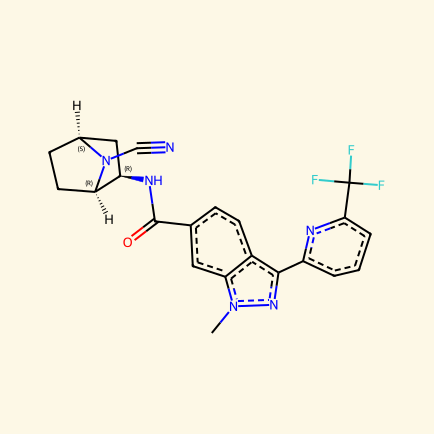 Cn1nc(-c2cccc(C(F)(F)F)n2)c2ccc(C(=O)N[C@@H]3C[C@@H]4CC[C@H]3N4C#N)cc21